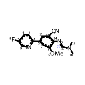 COc1cc(-c2ccc(F)cn2)cc(C#N)c1/N=C/N(C)C